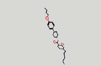 CCCCCC1CCC(C(=O)C[C@H]2CC[C@H](c3ccc(OCCCC)cc3)CC2)C(=O)C1